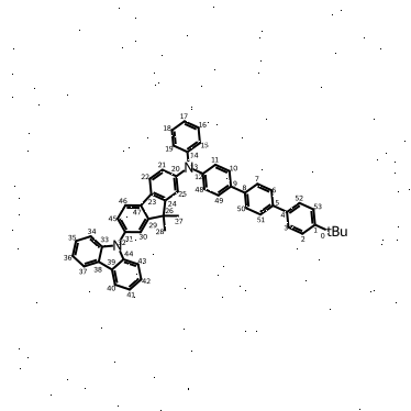 CC(C)(C)c1ccc(-c2ccc(-c3ccc(N(c4ccccc4)c4ccc5c(c4)C(C)(C)c4cc(-n6c7ccccc7c7ccccc76)ccc4-5)cc3)cc2)cc1